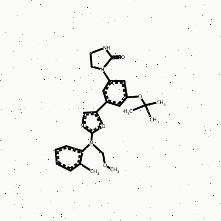 COCN(c1ncc(-c2cc(OC(C)(C)C)cc(N3CCNC3=O)c2)o1)c1ccccc1C